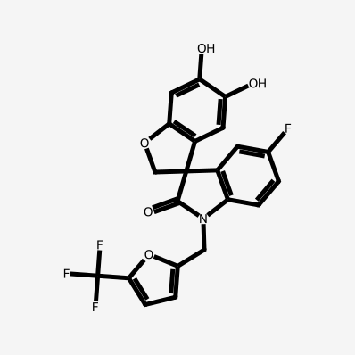 O=C1N(Cc2ccc(C(F)(F)F)o2)c2ccc(F)cc2C12COc1cc(O)c(O)cc12